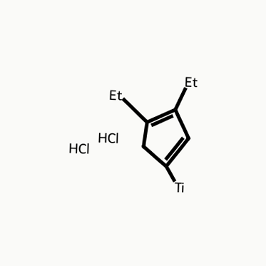 CCC1=C(CC)C[C]([Ti])=C1.Cl.Cl